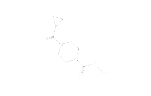 CC(C)(C)OC(=O)N1CCN(C(=O)C2CC2)CC1